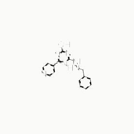 Oc1nc(NNCc2ccccc2)nc(-c2ccncc2)n1